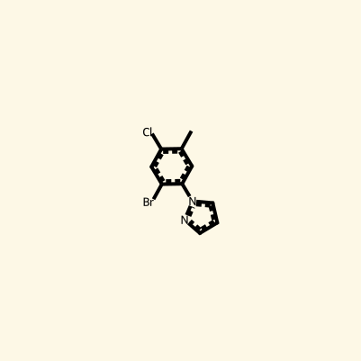 Cc1cc(-n2cccn2)c(Br)cc1Cl